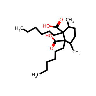 CCCCCCC1(C(=O)O)C(C)CCC(C)C1(CCCCCC)C(=O)O